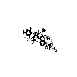 Cc1c(Nc2ccc(I)cc2F)c2c(=O)n(C3CC3)c(C)c(C3C=CC=C(NS(C)(=O)=O)[C@H]3C)c2oc1=O